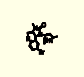 Cc1cc(-n2c(=O)n(C)c3cnc4ccc(Br)cc4c32)n(C)n1